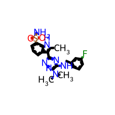 Cc1[nH]c2c(S(N)(=O)=O)cccc2c1-c1nnc(N(C)C)c(NCc2cccc(F)c2)n1